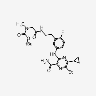 CCc1nc(C(N)=O)c(Nc2ccc(F)c(CCNC(=O)CN(C)C(=O)OC(C)(C)C)c2)nc1C1CC1